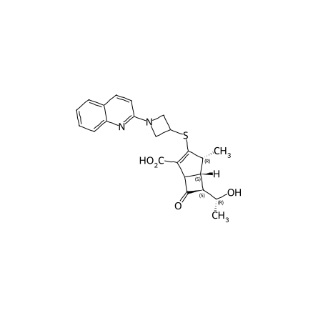 C[C@@H](O)[C@H]1C(=O)C2C(C(=O)O)=C(SC3CN(c4ccc5ccccc5n4)C3)[C@H](C)[C@@H]21